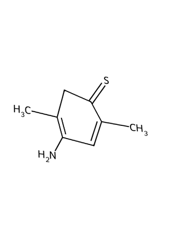 CC1=CC(N)=C(C)CC1=S